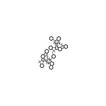 CC1(C)c2ccccc2-c2c1c1ccc3c4ccccc4sc3c1n2-c1nc(-c2cccc(CC3(C)c4ccccc4-c4c3c3ccc5c6ccccc6sc5c3n4-c3nc(-c4ccccc4)c4ccccc4n3)c2)c2ccc3ccccc3c2n1